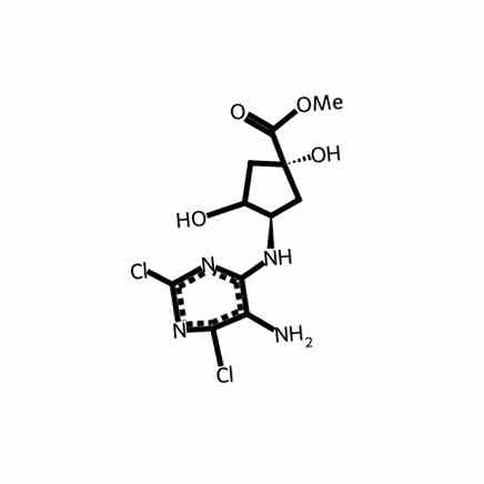 COC(=O)[C@]1(O)CC(O)[C@H](Nc2nc(Cl)nc(Cl)c2N)C1